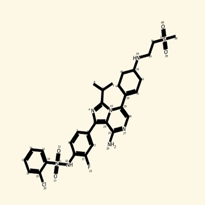 CC(C)c1nc(-c2ccc(NS(=O)(=O)c3ccccc3Cl)c(F)c2)c2c(N)ncc(C3=CCC(NCCS(C)(=O)=O)CC3)n12